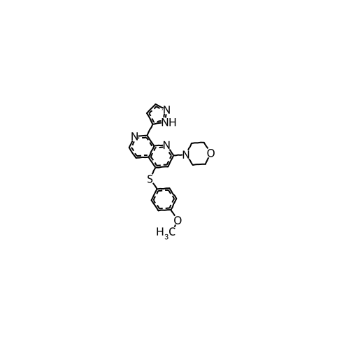 COc1ccc(Sc2cc(N3CCOCC3)nc3c(-c4ccn[nH]4)nccc23)cc1